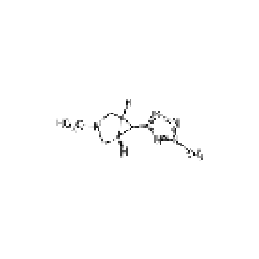 Cn1nnc([C@H]2[C@@H]3CN(C(=O)O)C[C@@H]32)n1